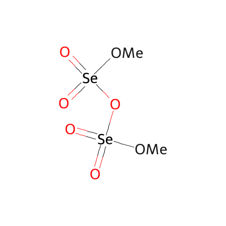 CO[Se](=O)(=O)O[Se](=O)(=O)OC